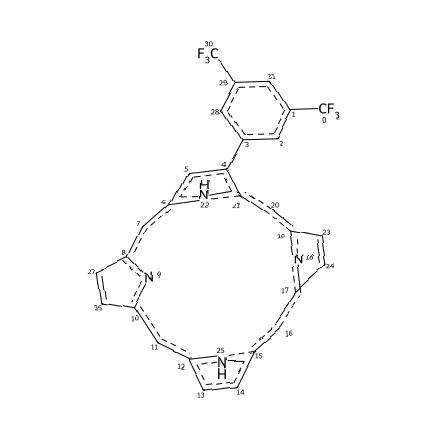 FC(F)(F)c1cc(-c2cc3cc4nc(cc5ccc(cc6nc(cc2[nH]3)C=C6)[nH]5)C=C4)cc(C(F)(F)F)c1